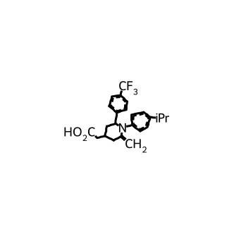 C=C1CC(CC(=O)O)CC(c2ccc(C(F)(F)F)cc2)N1c1ccc(C(C)C)cc1